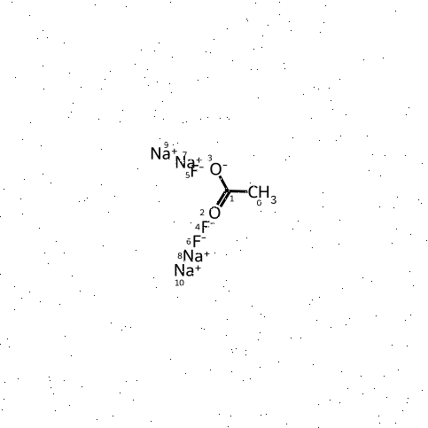 CC(=O)[O-].[F-].[F-].[F-].[Na+].[Na+].[Na+].[Na+]